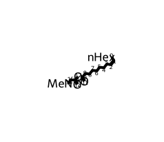 CCCCCC/C=C\CCCCCCCC(=O)OC(=O)CNC